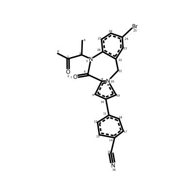 CC(=O)C(C)N1C(=O)c2cc(-c3ccc(C#N)cc3)cn2Cc2cc(Br)ccc21